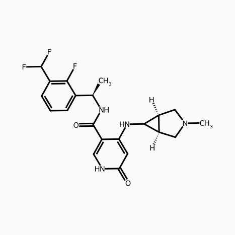 C[C@@H](NC(=O)c1c[nH]c(=O)cc1NC1[C@H]2CN(C)C[C@@H]12)c1cccc(C(F)F)c1F